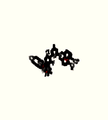 COc1ccc(CN(Cc2ccc(OC)cc2)c2cc(C)cc(-c3c(Cl)cc4c(N5C6COCC5CN(C(=O)OC(C)(C)C)C6)nc(F)nc4c3F)n2)cc1